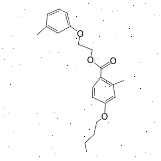 CCCCOc1ccc(C(=O)OCCOc2cccc(C)c2)c(C)c1